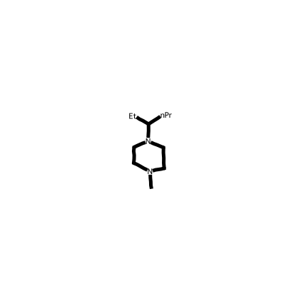 CCCC(CC)N1CCN(C)CC1